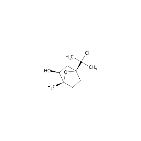 CC(C)(Cl)[C@@]12CC[C@@](C)(O1)[C@@H](O)C2